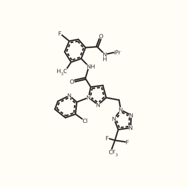 Cc1cc(F)cc(C(=O)NC(C)C)c1NC(=O)c1cc(Cn2nnc(C(F)(F)C(F)(F)F)n2)nn1-c1ncccc1Cl